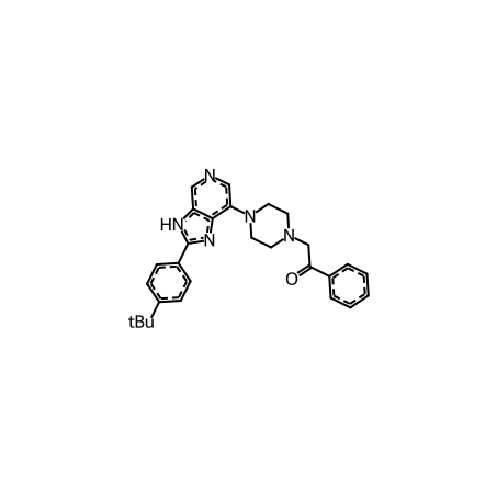 CC(C)(C)c1ccc(-c2nc3c(N4CCN(CC(=O)c5ccccc5)CC4)cncc3[nH]2)cc1